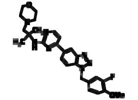 COc1ccc(Cn2nnc3cc(-c4ccnc(NC(C)(C)CN5CCOCC5)n4)ccc32)cc1F